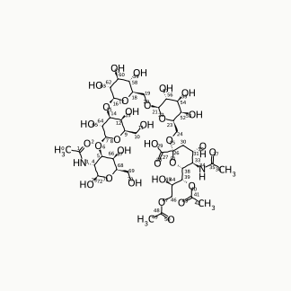 CC(=O)N[C@@H]1[C@@H](O[C@@H]2O[C@H](CO)[C@H](O)[C@H](O[C@@H]3O[C@H](CO[C@@H]4O[C@H](CO[C@]5(C(=O)O)C[C@H](O)[C@@H](NC(C)=O)[C@H]([C@H](OC(C)=O)[C@H](O)COC(C)=O)O5)[C@H](O)[C@H](O)[C@H]4O)[C@@H](O)[C@H](O)[C@H]3O)[C@H]2O)[C@@H](O)[C@@H](CO)O[C@H]1O